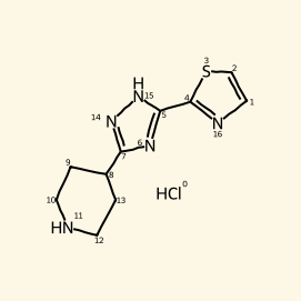 Cl.c1csc(-c2nc(C3CCNCC3)n[nH]2)n1